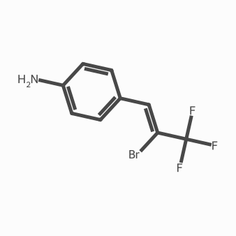 Nc1ccc(C=C(Br)C(F)(F)F)cc1